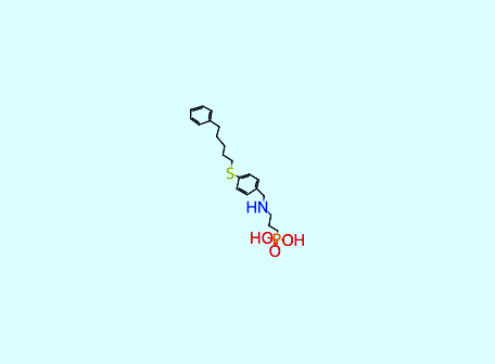 O=P(O)(O)CCCNCc1ccc(SCCCCCc2ccccc2)cc1